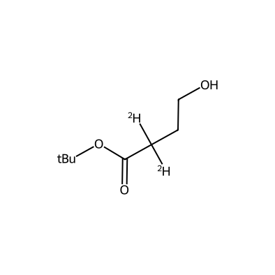 [2H]C([2H])(CCO)C(=O)OC(C)(C)C